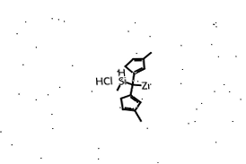 CC1=CCC([C]([Zr])(C2=CC(C)=CC2)[SiH](C)C)=C1.Cl